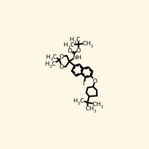 CC(C)(C)OC(=O)NC1(c2ccc3c(I)c(OC4CCC(C(C)(C)C)CC4)ccc3c2)COC(C)(C)OC1